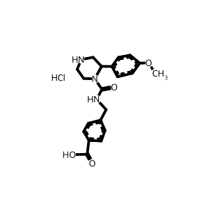 COc1ccc(C2CNCCN2C(=O)NCc2ccc(C(=O)O)cc2)cc1.Cl